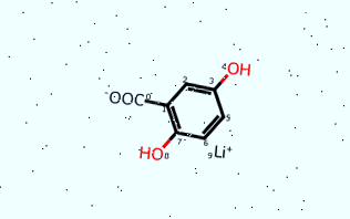 O=C([O-])c1cc(O)ccc1O.[Li+]